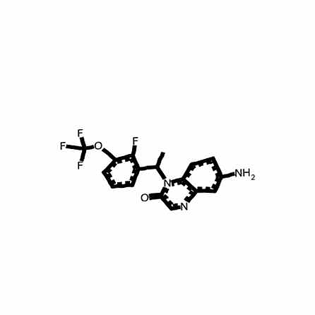 CC(c1cccc(OC(F)(F)F)c1F)n1c(=O)cnc2cc(N)ccc21